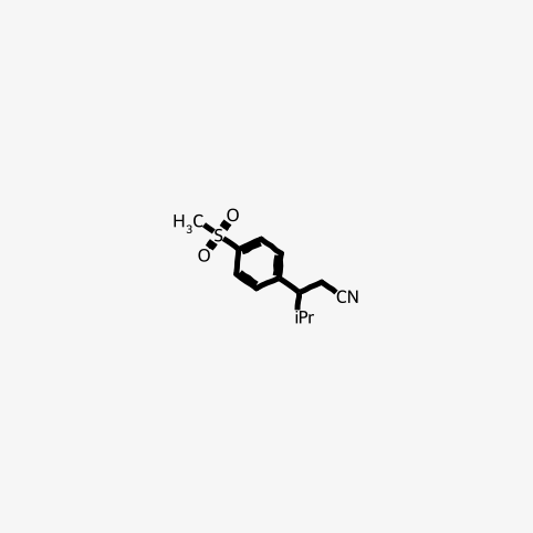 CC(C)C(CC#N)c1ccc(S(C)(=O)=O)cc1